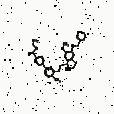 CCOC(=O)c1ccc(-c2ccc(C)c(/C=C/C3NCCc4cc(OCc5ccccc5)c(OC)cc43)c2)cn1